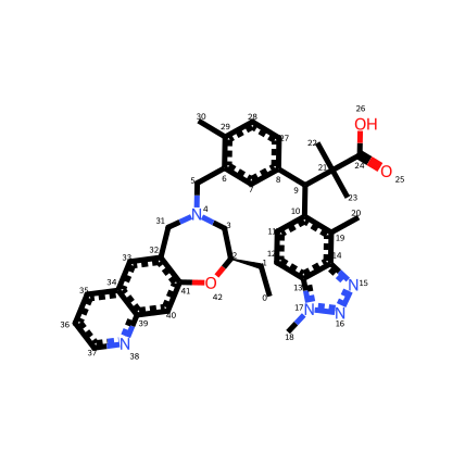 CC[C@@H]1CN(Cc2cc(C(c3ccc4c(nnn4C)c3C)C(C)(C)C(=O)O)ccc2C)Cc2cc3cccnc3cc2O1